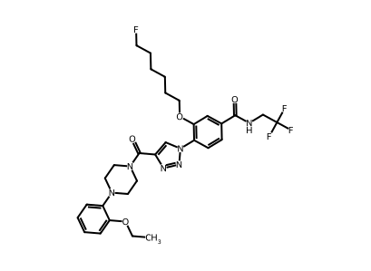 CCOc1ccccc1N1CCN(C(=O)c2cn(-c3ccc(C(=O)NCC(F)(F)F)cc3OCCCCCCF)nn2)CC1